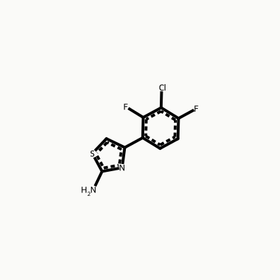 Nc1nc(-c2ccc(F)c(Cl)c2F)cs1